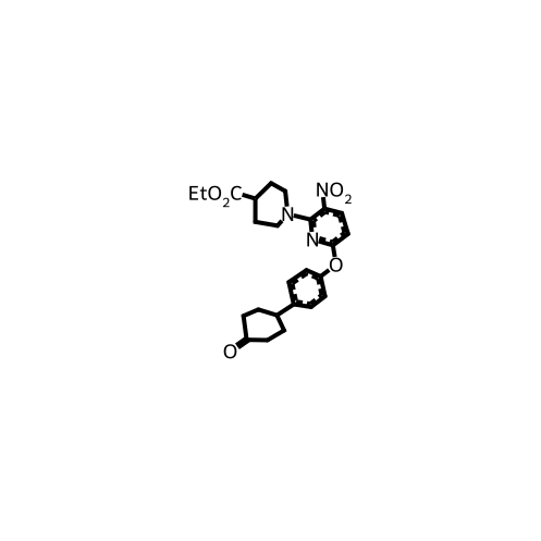 CCOC(=O)C1CCN(c2nc(Oc3ccc(C4CCC(=O)CC4)cc3)ccc2[N+](=O)[O-])CC1